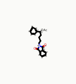 CC(=O)O[C@@H](CCCCN1C(=O)c2ccccc2C1=O)c1ccccc1